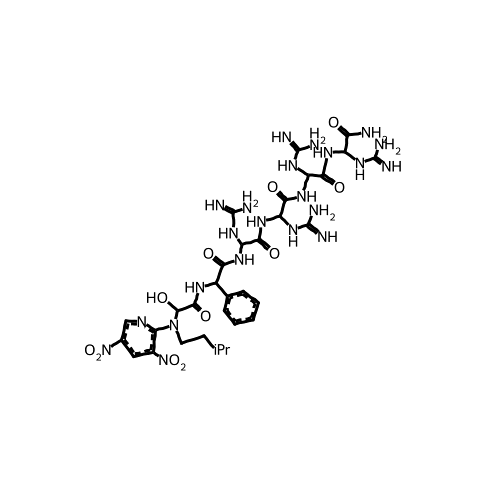 CC(C)CCN(c1ncc([N+](=O)[O-])cc1[N+](=O)[O-])C(O)C(=O)NC(C(=O)NC(NC(=N)N)C(=O)NC(NC(=N)N)C(=O)NC(NC(=N)N)C(=O)NC(NC(=N)N)C(N)=O)c1ccccc1